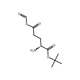 CC(C)(C)OC(=O)[C@@H](N)CCC(=O)OC=O